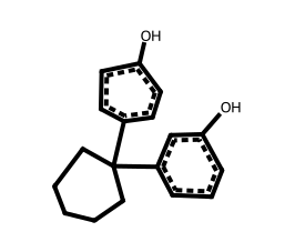 Oc1ccc(C2(c3cccc(O)c3)CCCCC2)cc1